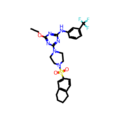 CCOc1nc(Nc2cccc(C(F)(F)F)c2)nc(N2CCN(S(=O)(=O)c3ccc4c(c3)CCCC4)CC2)n1